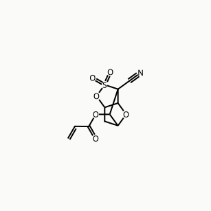 C=CC(=O)OC1C2CC3OS(=O)(=O)C1(C#N)C3O2